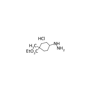 CCOC(=O)C1(C)CCC(NN)CC1.Cl